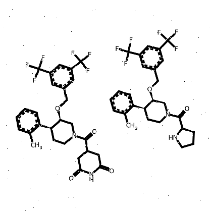 Cc1ccccc1[C@@H]1CCN(C(=O)C2CC(=O)NC(=O)C2)C[C@@H]1OCc1cc(C(F)(F)F)cc(C(F)(F)F)c1.Cc1ccccc1[C@@H]1CCN(C(=O)C2CCCN2)C[C@@H]1OCc1cc(C(F)(F)F)cc(C(F)(F)F)c1